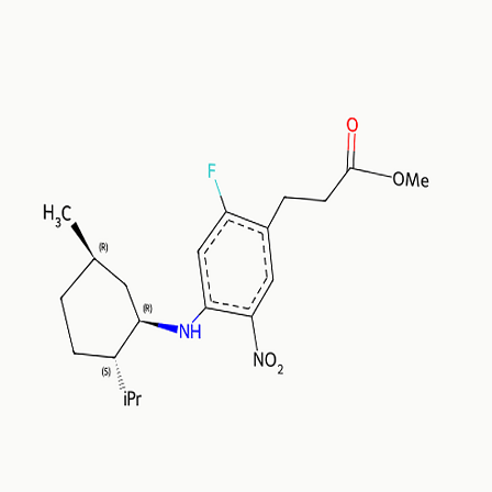 COC(=O)CCc1cc([N+](=O)[O-])c(N[C@@H]2C[C@H](C)CC[C@H]2C(C)C)cc1F